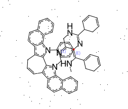 CN/C(C1=CC=CCC1)=C1/N=C(C2C=CC=CC2)NC/C1=N/Cn1c2c(c3ccc4ccccc4c31)C=CCc1c-2n(-c2ccccc2)c2c1ccc1ccccc12